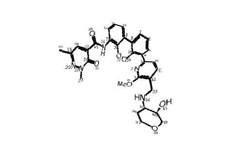 COc1nc(-c2cccc(-c3cccc(NC(=O)c4cc(C)nn(C)c4=O)c3Cl)c2Cl)ccc1CN[C@@H]1CCOC[C@@H]1O